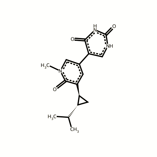 CC(C)[C@H]1C[C@@H]1c1cc(-c2c[nH]c(=O)[nH]c2=O)cn(C)c1=O